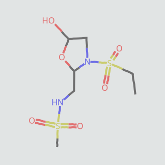 CCS(=O)(=O)N1CC(O)OC1CNS(C)(=O)=O